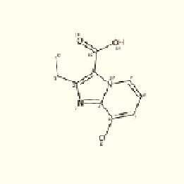 CCc1nc2c(Cl)cccn2c1C(=O)O